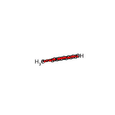 CCCCCCCCCCCCOCCOCCOCCOCCOCCOCCOCCOCCOCCOCCOCCO